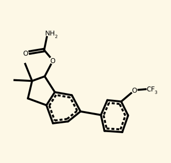 CC1(C)Cc2ccc(-c3cccc(OC(F)(F)F)c3)cc2C1OC(N)=O